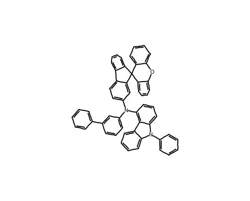 c1ccc(-c2cccc(N(c3ccc4c(c3)C3(c5ccccc5Oc5ccccc53)c3ccccc3-4)c3cccc4c3c3ccccc3n4-c3ccccc3)c2)cc1